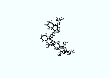 O=C([O-])c1ccccc1C(=O)[O-].O=C([O-])c1ccccc1C(=O)[O-].O=C([O-])c1ccccc1C(=O)[O-].[Ba+2].[Mg+2].[Sr+2]